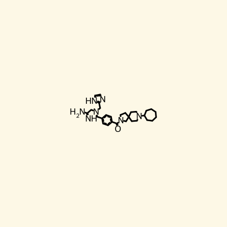 N=C(N)CN(Cc1ccc(C(=O)N2CCC3(CCN(C4CCCCCC4)CC3)C2)cc1)Cc1ncc[nH]1